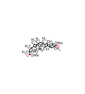 CCC(C)(CC(C)(C)C(=O)OC)C1C(C)C(C(C)(C)CC(C)(C)C2C(C)C(C(C)(C)CC(C)(C)C(=O)OC)C2C)C1C